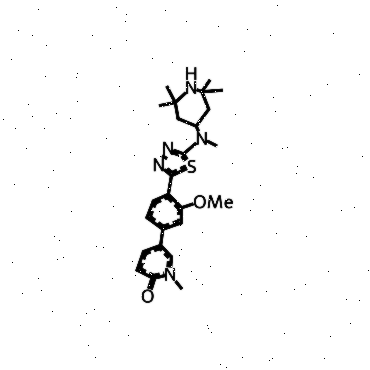 COc1cc(-c2ccc(=O)n(C)c2)ccc1-c1nnc(N(C)C2CC(C)(C)NC(C)(C)C2)s1